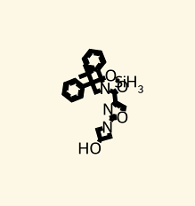 CC(C)(C)C1(c2ccccc2)CN(C(=O)c2coc(N3CC(O)C3)n2)C1(O[SiH3])c1ccccc1